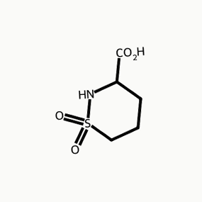 O=C(O)C1CCCS(=O)(=O)N1